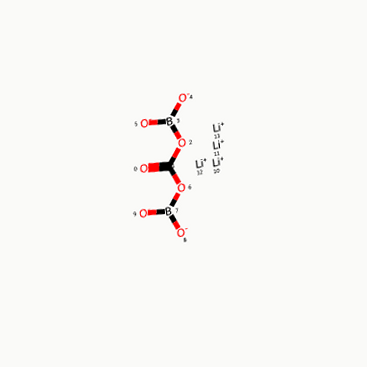 O=C(OB([O-])[O-])OB([O-])[O-].[Li+].[Li+].[Li+].[Li+]